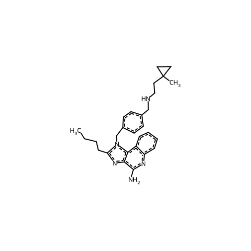 CCCCc1nc2c(N)nc3ccccc3c2n1Cc1ccc(CNCCC2(C)CC2)cc1